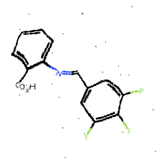 O=C(O)c1ccccc1N=Cc1cc(F)c(F)c(F)c1